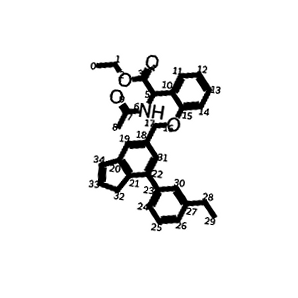 CCOC(=O)C(NC(C)=O)c1ccccc1OCc1cc2c(c(-c3cccc(CC)c3)c1)CC=C2